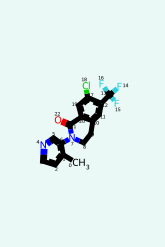 Cc1ccncc1N1CCc2cc(C(F)(F)F)c(Cl)cc2C1=O